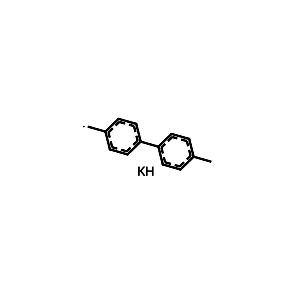 [CH2]c1ccc(-c2ccc(C)cc2)cc1.[KH]